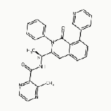 Cc1nccnc1C(=O)N[C@@H](C)c1cc2cccc(-c3cccnc3)c2c(=O)n1-c1ccccc1